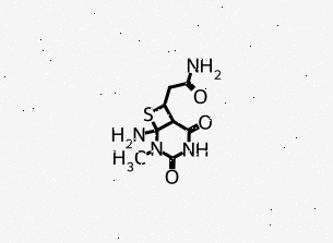 CN1C(=O)NC(=O)C2C(CC(N)=O)SC21N